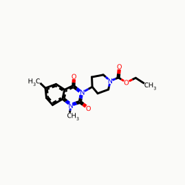 CCOC(=O)N1CCC(n2c(=O)c3cc(C)ccc3n(C)c2=O)CC1